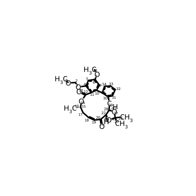 COCOc1cc(OC)cc2c1C(=O)O[C@@H](C)C/C=C\C(=O)[C@H]1OC(C)(C)O[C@@H]1Cc1ccccc1-2